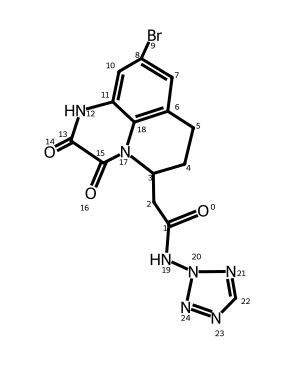 O=C(CC1CCc2cc(Br)cc3[nH]c(=O)c(=O)n1c23)Nn1ncnn1